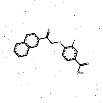 COC(=O)c1ccc(OCC(=O)c2ccc3ccccc3c2)c(I)c1